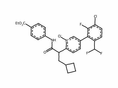 CCOC(=O)c1ccc(NC(=O)C(CC2CCC2)c2ccc(-c3c(C(F)F)ccc(Cl)c3F)c[n+]2[O-])cc1